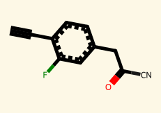 C#Cc1ccc(CC(=O)C#N)cc1F